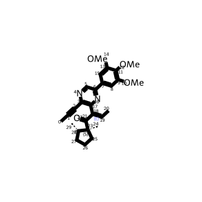 CC#Cc1ncc(-c2cc(OC)c(OC)c(OC)c2)nc1/C(=C\C)C(=O)[C@@]1(C)CCC[C@@H]1C